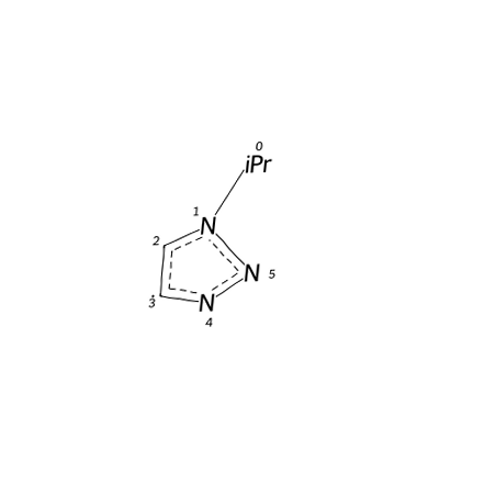 CC(C)n1c[c]nn1